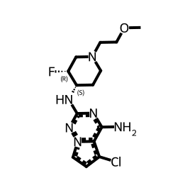 COCCN1CC[C@H](Nc2nc(N)c3c(Cl)ccn3n2)[C@H](F)C1